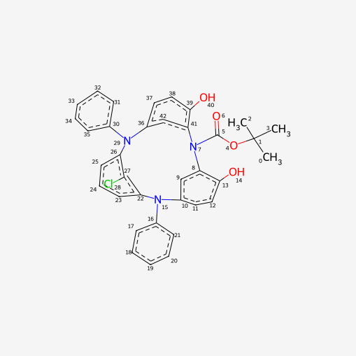 CC(C)(C)OC(=O)N1c2cc(ccc2O)N(c2ccccc2)c2cccc(c2Cl)N(c2ccccc2)c2ccc(O)c1c2